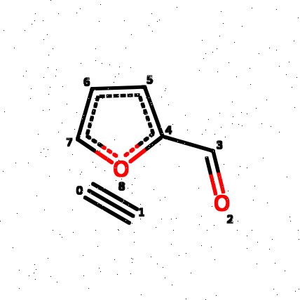 C#C.O=Cc1ccco1